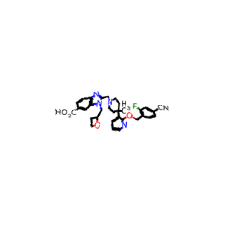 CC1(c2cccnc2OCc2ccc(C#N)cc2F)CCN(Cc2nc3ccc(C(=O)O)cc3n2CC2CCO2)CC1